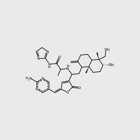 C=C1CCC2[C@](C)(CC[C@@H](O)[C@@]2(C)CO)C1CC(NC(C)C(=O)NC1=NCC=N1)C1=C/C(=C\c2cnc(N)nc2)OC1=O